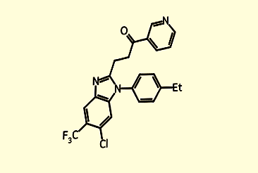 [CH2]Cc1ccc(-n2c(CCC(=O)c3cccnc3)nc3cc(C(F)(F)F)c(Cl)cc32)cc1